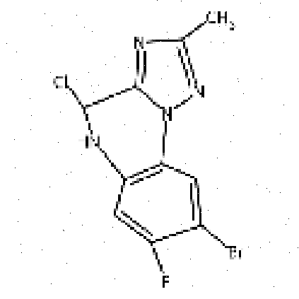 Cc1nc2n(n1)-c1cc(Br)c(F)cc1NC2Cl